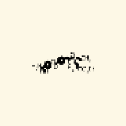 C=CCN(C/C=C/C(=O)OCC)C(=O)/C(C)=C/c1ccc(C(=O)Oc2ccc(C(=N)N)cc2)cc1